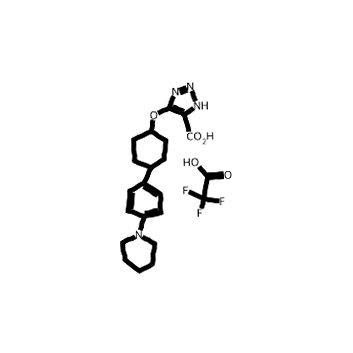 O=C(O)C(F)(F)F.O=C(O)c1[nH]nnc1OC1CCC(c2ccc(N3CCCCC3)cc2)CC1